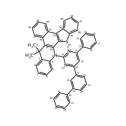 CC1(C)c2ccccc2N(c2nc(-c3ccccc3)cc(-c3cccc(-c4ccccc4)c3)n2)c2c1c1ccccc1c1c2sc2ccccc21